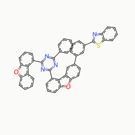 c1ccc(-c2nc(-c3cccc4oc5ccccc5c34)nc(-c3cccc4oc5ccc(-c6cccc(-c7nc8ccccc8s7)c6)cc5c34)n2)cc1